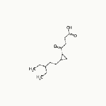 CCC(CC)CCC1C[C@H]1C(=O)CCC(=O)O